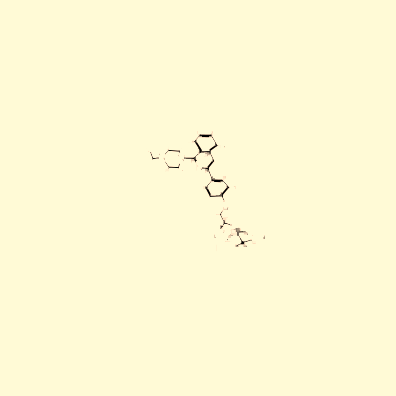 CCN1CCN(c2nc(-c3ccc(OCC(C)O[Si](C)(C)C(C)(C)C)cc3)cc3ccccc23)CC1